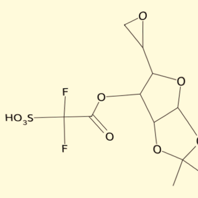 CC1(C)OC2OC(C3CO3)C(OC(=O)C(F)(F)S(=O)(=O)O)C2O1